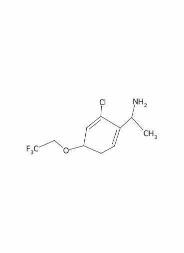 CC(N)C1=CCC(OCC(F)(F)F)C=C1Cl